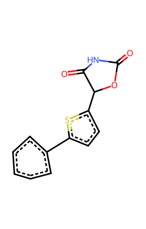 O=C1NC(=O)C(c2ccc(-c3ccccc3)s2)O1